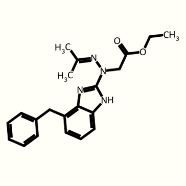 CCOC(=O)CN(N=C(C)C)c1nc2c(Cc3ccccc3)cccc2[nH]1